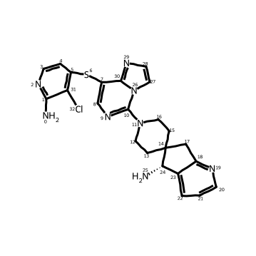 Nc1nccc(Sc2cnc(N3CCC4(CC3)Cc3ncccc3[C@@H]4N)n3ccnc23)c1Cl